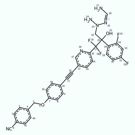 N#Cc1ccc(COc2ccc(C#Cc3ccc(C(F)(F)C(O)(CN(N)/N=C\N)c4ccc(F)cc4F)nc3)cc2)cc1